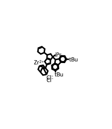 CC(C)C1(C2c3ccc(C(C)(C)C)cc3-c3cc(C(C)(C)C)ccc32)CC(C2CC=CCC2)C2=C1C=C(C13CC4CC(CC(C4)C1)C3)C2.[Cl-].[Cl-].[Zr+2]